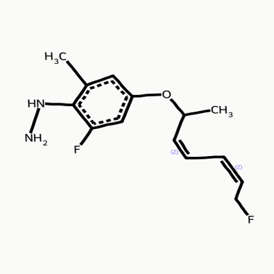 Cc1cc(OC(C)/C=C\C=C/CF)cc(F)c1NN